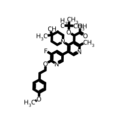 COc1ccc(CCOc2ncc(-c3cnc(C)c(C(OC(C)(C)C)C(=O)O)c3N3CCC(C)(C)CC3)cc2F)cc1